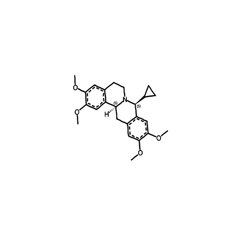 COc1cc2c(cc1OC)[C@H](C1CC1)N1CCc3cc(OC)c(OC)cc3[C@@H]1C2